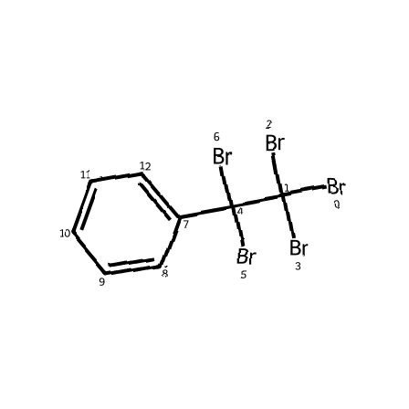 BrC(Br)(Br)C(Br)(Br)c1[c]cccc1